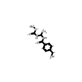 CC(NC(=O)OC(C)(C)C)NC(=O)c1ccc(CO)cc1